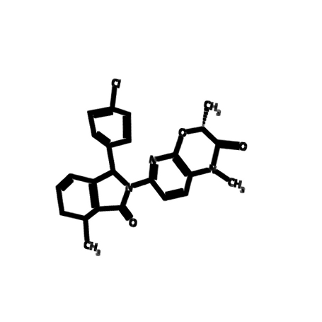 CC1CC=CC2=C1C(=O)N(c1ccc3c(n1)O[C@H](C)C(=O)N3C)C2c1ccc(Cl)cc1